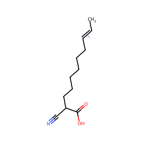 C/C=C/CCCCCCC(C#N)C(=O)O